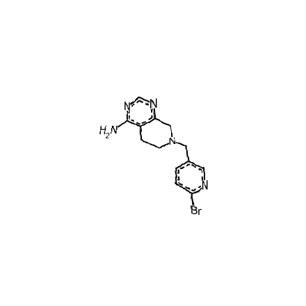 Nc1ncnc2c1CCN(Cc1ccc(Br)nc1)C2